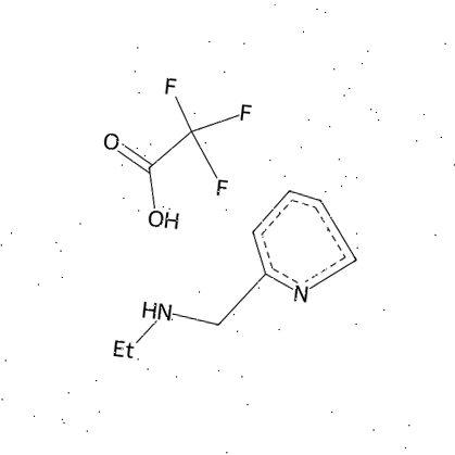 CCNCc1ccccn1.O=C(O)C(F)(F)F